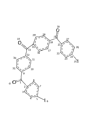 O=C(c1ccc(I)cc1)c1ccc(C(=O)c2ccc(C(=O)c3ccc(I)cc3)cc2)cc1